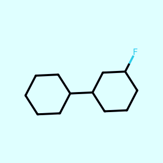 FC1CCCC(C2CCCCC2)C1